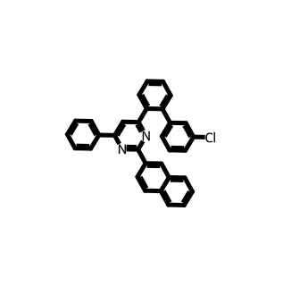 Clc1cccc(-c2ccccc2-c2cc(-c3ccccc3)nc(-c3ccc4ccccc4c3)n2)c1